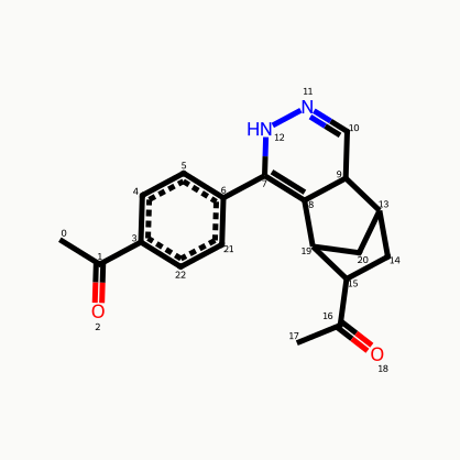 CC(=O)c1ccc(C2=C3C(C=NN2)C2CC(C(C)=O)C3C2)cc1